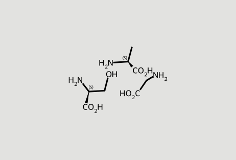 C[C@H](N)C(=O)O.NCC(=O)O.N[C@@H](CO)C(=O)O